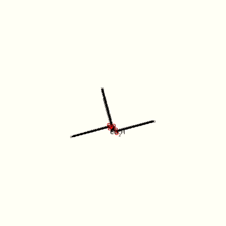 CC#CC#CC#CC#CC#CC#CC#CC#CC#CC#CC(=O)OCC(COC(=O)C#CC#CC#CC#CC#CC#CC#CC#CC#CC#CC)(COC(=O)C#CC#CC#CC#CC#CC#CC#CC#CC#CC#CC)CC(=O)O